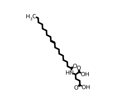 CCCCCCCCC=CCCCCCCCC(=O)NC(CCC(=O)O)C(=O)O